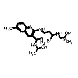 CCC(CCNc1nc2ccc(C)cc2cc1C(N)NC(C)O)NC[C@@H](C)O